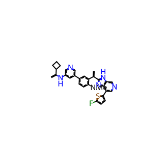 C=C(c1nc2c(-c3ccc(F)s3)cncc2[nH]1)c1cc(-c2cncc(NC(=C)C3CCC3)c2)ccc1NC